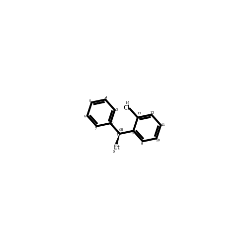 CC[C@@H](c1ccccc1)c1ccccc1Cl